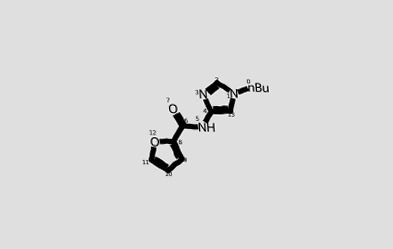 [CH2]CCCn1cnc(NC(=O)c2ccco2)c1